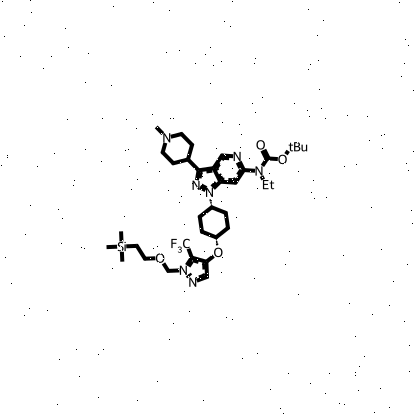 CCN(C(=O)OC(C)(C)C)c1cc2c(cn1)c(C1CCN(C)CC1)nn2[C@H]1CC[C@@H](Oc2cnn(COCC[Si](C)(C)C)c2C(F)(F)F)CC1